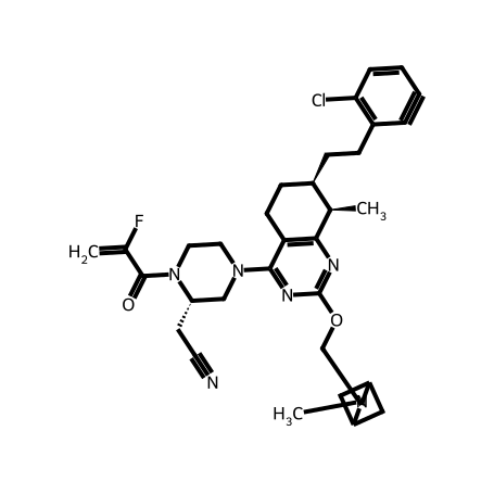 C=C(F)C(=O)N1CCN(c2nc(OCC3C4CC(C4)N3C)nc3c2CC[C@@H](CCc2c#cccc2Cl)[C@H]3C)C[C@@H]1CC#N